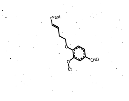 CCCCCC=CCCOc1ccc(C=O)cc1OCC